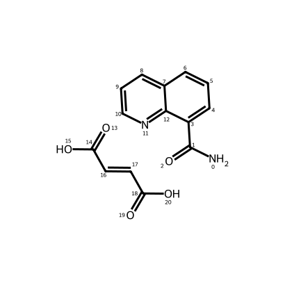 NC(=O)c1cccc2cccnc12.O=C(O)C=CC(=O)O